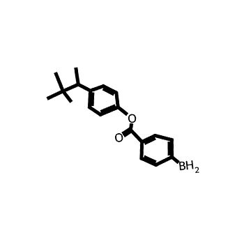 Bc1ccc(C(=O)Oc2ccc(C(C)C(C)(C)C)cc2)cc1